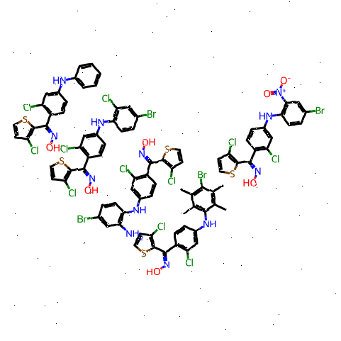 Cc1c(C)c(Nc2ccc(C(=NO)c3sccc3Cl)c(Cl)c2)c(C)c(C)c1Br.Nc1cc(Br)ccc1Nc1ccc(C(=NO)c2sccc2Cl)c(Cl)c1.O=[N+]([O-])c1cc(Br)ccc1Nc1ccc(C(=NO)c2sccc2Cl)c(Cl)c1.ON=C(c1ccc(Nc2ccc(Br)cc2Cl)cc1Cl)c1sccc1Cl.ON=C(c1ccc(Nc2ccccc2)cc1Cl)c1sccc1Cl